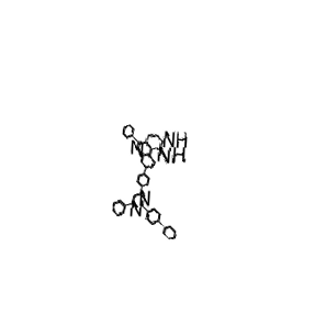 N=C1C=Cc2c(-c3ccccc3)nc3cc(-c4ccc(-c5cc(-c6ccccc6)nc(-c6ccc(-c7ccccc7)cc6)n5)cc4)ccc3c2C1=N